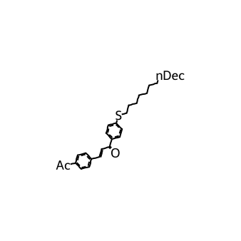 CCCCCCCCCCCCCCCCCSc1ccc(C(=O)C=Cc2ccc(C(C)=O)cc2)cc1